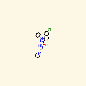 O=C(NCCCN1CCCCC1)c1nn(-c2ccccc2)c2c1CCc1cc(Cl)ccc1-2